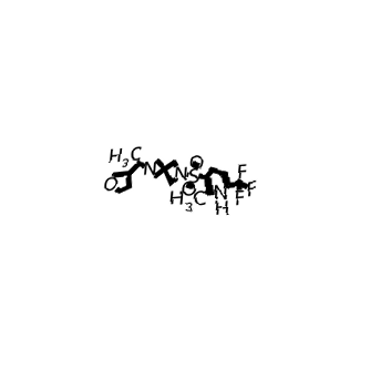 CC1=C(S(=O)(=O)N2CC3(CN([C@H](C)C4CCOC4)C3)C2)CC=C(C(F)(F)F)N1